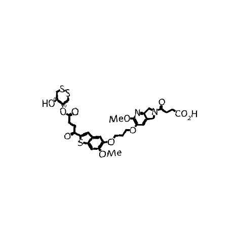 COc1cc2sc(C(=O)CCC(=O)O[C@H]3CSSC[C@@H]3O)cc2cc1OCCCOc1cc2c(nc1OC)CN(C(=O)CCC(=O)O)C2